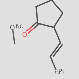 CCCC=CC1CCCC1=O.COC(C)=O